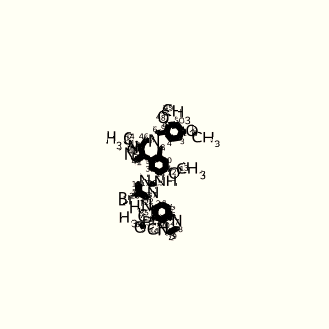 COc1ccc(CN2Cc3cc(OC)c(Nc4ncc(Br)c(Nc5ccc6nccnc6c5P(C)(C)=O)n4)cc3-c3cnn(C)c3C2)c(OC)c1